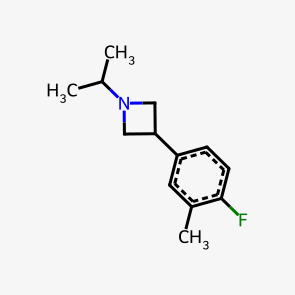 Cc1cc(C2CN(C(C)C)C2)ccc1F